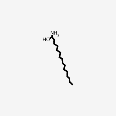 CCCCCCCCCCCCCCCC(N)O